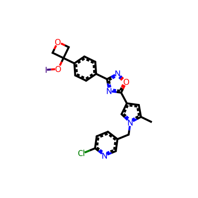 Cc1cc(-c2nc(-c3ccc(C4(OI)COC4)cc3)no2)cn1Cc1ccc(Cl)nc1